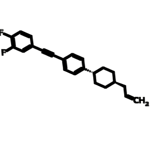 C=CC[C@H]1CC[C@H](c2ccc(C#Cc3ccc(F)c(F)c3)cc2)CC1